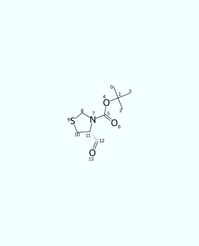 CC(C)(C)OC(=O)N1CSC[C@H]1C=O